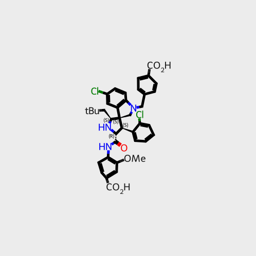 COc1cc(C(=O)O)ccc1NC(=O)[C@@H]1N[C@@H](CC(C)(C)C)[C@@]2(CN(Cc3ccc(C(=O)O)cc3)c3ccc(Cl)cc32)[C@H]1c1ccccc1Cl